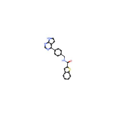 O=C(NCc1ccc(-c2ncnc3[nH]ccc23)cc1)c1cc2ccccc2s1